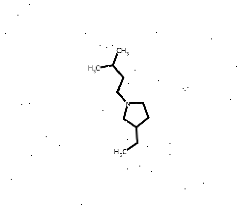 CCC1CCN(CCC(C)C)C1